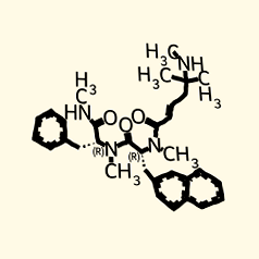 CNC(=O)[C@@H](Cc1ccccc1)N(C)C(=O)[C@@H](Cc1ccc2ccccc2c1)N(C)C(=O)C=CCC(C)(C)NC